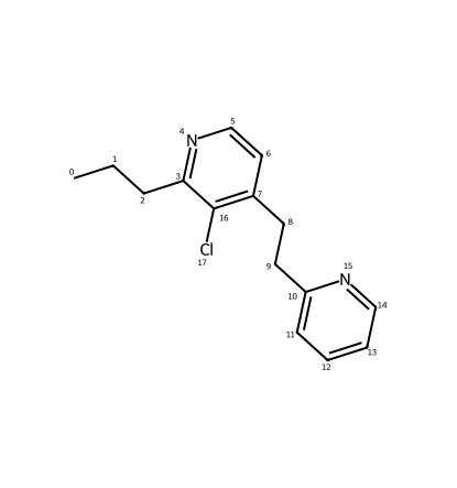 CCCc1nccc(CCc2ccccn2)c1Cl